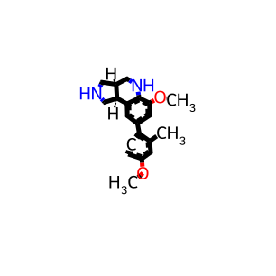 COc1ccc(-c2cc(OC)c3c(c2)[C@H]2CNC[C@H]2CN3)c(C)c1